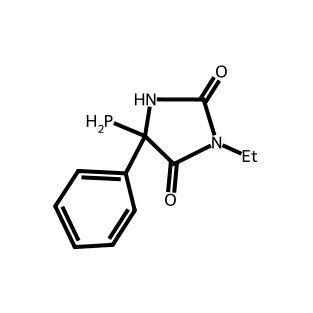 CCN1C(=O)NC(P)(c2ccccc2)C1=O